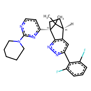 CC1(C)[C@H]2CC[C@]1(c1ccnc(N3CCCCC3)n1)c1nnc(-c3c(F)cccc3F)cc12